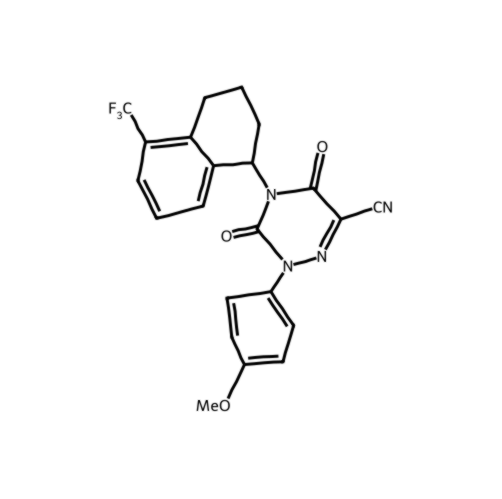 COc1ccc(-n2nc(C#N)c(=O)n(C3CCCc4c3cccc4C(F)(F)F)c2=O)cc1